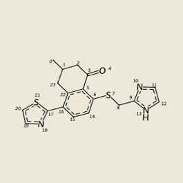 CC1CC(=O)c2c(SCc3ncc[nH]3)ccc(-c3nccs3)c2C1